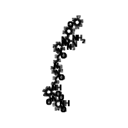 Nc1ncnc2c1c(-c1ccc(Oc3ccccc3)cc1)nn2[C@@H]1CCCN(C(=O)CCCN2CCN(C(=O)CCCNc3cccc4c3C(=O)N(C3CCC(=O)NC3=O)C4=O)CC2)C1